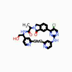 COc1cc(Nc2ncc(Cl)c(-c3ccc4c(c3)C(=O)N(C(C)C(=O)NC(CO)c3ccnc(OC)c3)C4)n2)ccn1